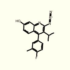 Cc1cc(-c2c(C(C)C)c(N=[N+]=[N-])nc3cc(O)ccc23)ccc1F